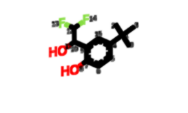 CC(C)(C)c1ccc(O)c(C(O)C(F)F)c1